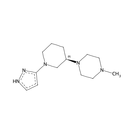 CN1CCN([C@@H]2CCCN(c3cc[nH]n3)C2)CC1